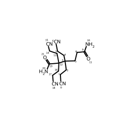 N#CCCC(CCC#N)(CCC(N)=O)C(CCC#N)(CCC#N)C(N)=O